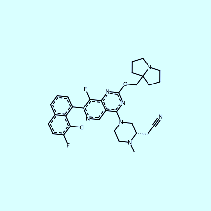 CN1CCN(c2nc(OCC34CCCN3CCC4)nc3c(F)c(-c4cccc5ccc(F)c(Cl)c45)ncc23)C[C@@H]1CC#N